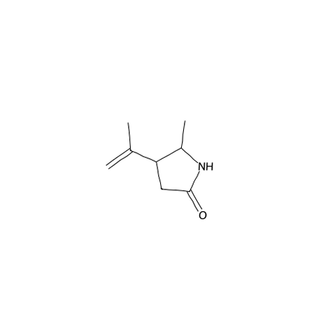 C=C(C)C1CC(=O)NC1C